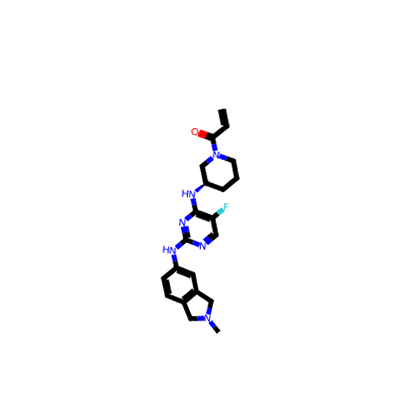 C=CC(=O)N1CCC[C@@H](Nc2nc(Nc3ccc4c(c3)CN(C)C4)ncc2F)C1